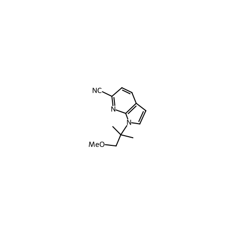 COCC(C)(C)n1ccc2ccc(C#N)nc21